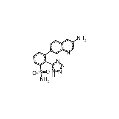 Nc1cnc2cc(-c3cccc(S(N)(=O)=O)c3-c3nnn[nH]3)ccc2c1